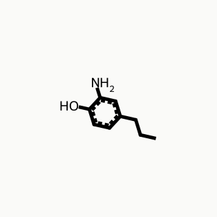 CCCc1ccc(O)c(N)c1